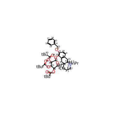 CCCN1CCC[C@@H]2Cc3c(ccc(OCc4ccccc4)c3O[C@@H]3O[C@H](C(=O)OCC)[C@@H](OC(=O)C(C)(C)C)[C@H](OC(=O)C(C)(C)C)[C@H]3OC(=O)C(C)(C)C)C[C@H]21